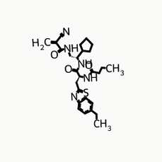 C=C(C#N)C(=O)NC[C@@H](NC(=O)[C@H](Cc1nc2ccc(CC)cc2s1)NC(=O)CCC)C1CCCC1